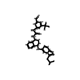 CC(C)Cc1nnc2ccc(O[C@@H]3CC[C@H](NC(=O)Nc4cc(C(C)(C)C)nc(C=O)n4)c4ccccc43)cn12